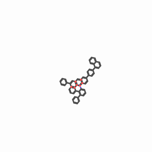 c1ccc(-c2ccc(N(c3ccc(-c4ccc(-c5cccc6ccccc56)cc4)cc3)c3cccc(-c4ccccc4)c3-c3ccccc3-c3ccccc3)cc2)cc1